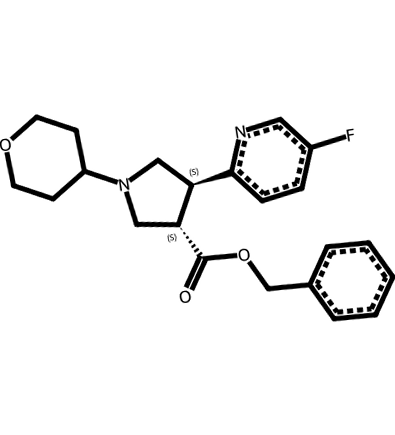 O=C(OCc1ccccc1)[C@@H]1CN(C2CCOCC2)C[C@H]1c1ccc(F)cn1